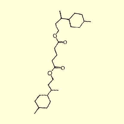 CC1CCC(C(C)CCOC(=O)CCCC(=O)OCCC(C)C2CCC(C)CC2)CC1